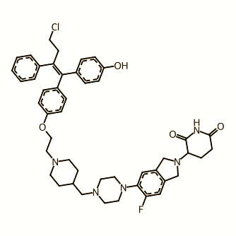 O=C1CCC(N2Cc3cc(F)c(N4CCN(CC5CCN(CCOc6ccc(C(=C(CCCl)c7ccccc7)c7ccc(O)cc7)cc6)CC5)CC4)cc3C2)C(=O)N1